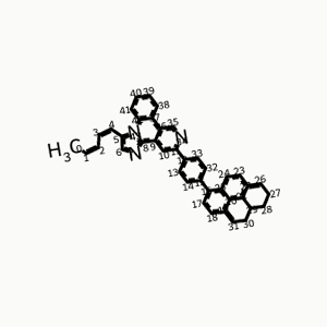 C/C=C\C=C/c1cnc2c3cc(-c4ccc(-c5ccc6c7c8c(ccc57)=CCCC8CC=6)cc4)ncc3c3ccccc3n12